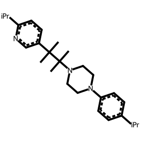 CC(C)c1ccc(N2CCN(C(C)(C)C(C)(C)c3ccc(C(C)C)nc3)CC2)cc1